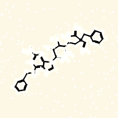 C=CC(CC[C@@H](C)C(C)[C@H](F)[C@@H](C)n1cnc2c(NCc3ccccc3)nc(C)nc21)(Cc1ccccc1)C(=C)C